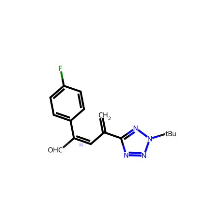 C=C(/C=C(/C=O)c1ccc(F)cc1)c1nnn(C(C)(C)C)n1